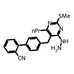 CCCc1nc(SC)nc(NN)c1Cc1ccc(-c2ccccc2C#N)cc1